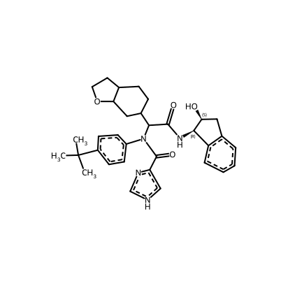 CC(C)(C)c1ccc(N(C(=O)c2c[nH]cn2)C(C(=O)N[C@@H]2c3ccccc3C[C@@H]2O)C2CCC3CCOC3C2)cc1